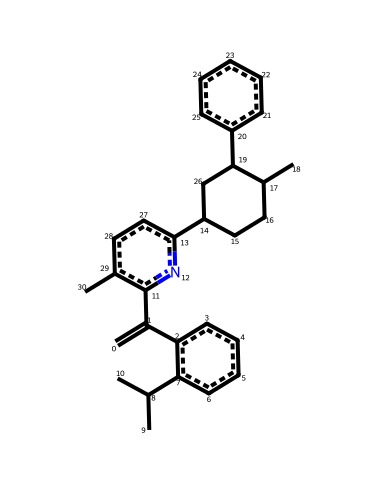 C=C(c1ccccc1C(C)C)c1nc(C2CCC(C)C(c3ccccc3)C2)ccc1C